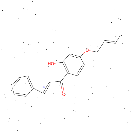 CC=CCOc1ccc(C(=O)/C=C/c2ccccc2)c(O)c1